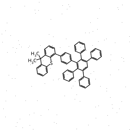 CC1(C)c2ccccc2Sc2c(-c3ccc(-c4c(-c5ccccc5)c(-c5ccccc5)cc(-c5ccccc5)c4-c4ccccc4)cc3)cccc21